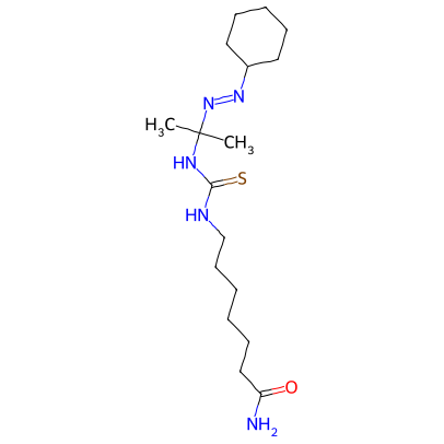 CC(C)(N=NC1CCCCC1)NC(=S)NCCCCCCC(N)=O